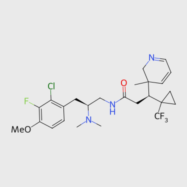 COc1ccc(C[C@@H](CNC(=O)C[C@@H](C2(C)C=CC=NC2)C2(C(F)(F)F)CC2)N(C)C)c(Cl)c1F